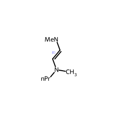 CCCN(C)/C=C/NC